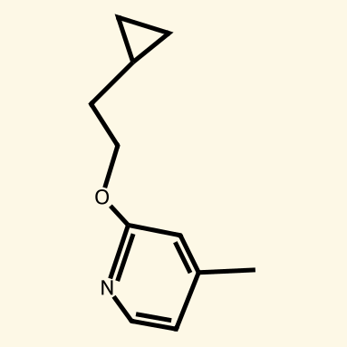 Cc1ccnc(OCCC2CC2)c1